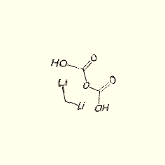 O=C(O)OC(=O)O.[Li][CH2][Li]